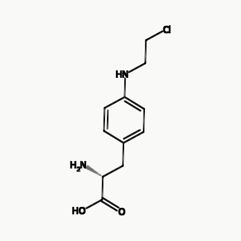 N[C@H](Cc1ccc(NCCCl)cc1)C(=O)O